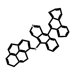 C1=Cc2ccc3ccc(Sc4c5ccccc5c(-c5cc6ccccc6c6ccccc56)c5cnccc45)c4c3c2C(=CC4)C1